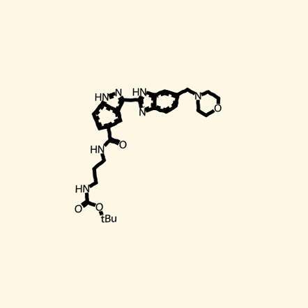 CC(C)(C)OC(=O)NCCCNC(=O)c1ccc2[nH]nc(-c3nc4ccc(CN5CCOCC5)cc4[nH]3)c2c1